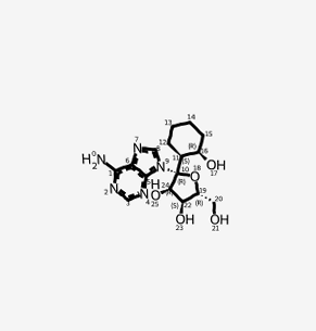 Nc1ncnc2c1ncn2[C@]1([C@H]2CCCC[C@H]2O)O[C@H](CO)[C@@H](O)[C@H]1O